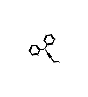 CCC#C[Si](c1ccccc1)c1ccccc1